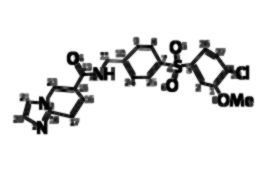 COc1cc(S(=O)(=O)c2ccc(CNC(=O)c3ccc4nccn4c3)cc2)ccc1Cl